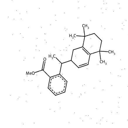 COC(=O)c1ccccc1C(C)C1C=CC2=C(C1)C(C)(C)CCC2(C)C